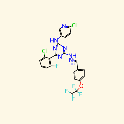 Fc1cccc(Cl)c1-c1nc(N/N=C/c2ccc(OC(F)(F)C(F)F)cc2)nc(Nc2ccc(Cl)nc2)n1